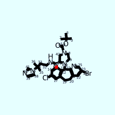 CC(C)(C)OC(=O)N1CCN(C2c3ccc(Cl)cc3CCc3cc(Br)cnc32)[C@@H](C(=O)NCCC(C)(C)n2ccnc2)C1